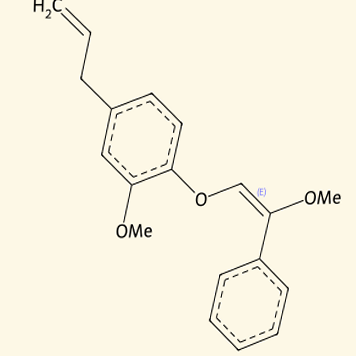 C=CCc1ccc(O/C=C(/OC)c2ccccc2)c(OC)c1